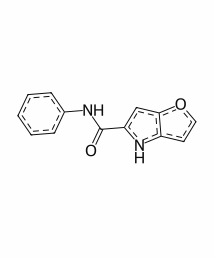 O=C(Nc1ccccc1)c1cc2occc2[nH]1